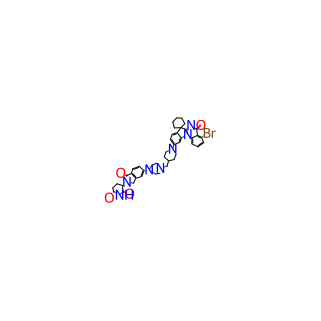 O=C1CCC(N2Cc3cc(N4CCN(CC5CCN(c6ccc7c(c6)-n6c(nc(=O)c8c(Br)cccc86)C76CCCCC6)CC5)CC4)ccc3C2=O)C(=O)N1